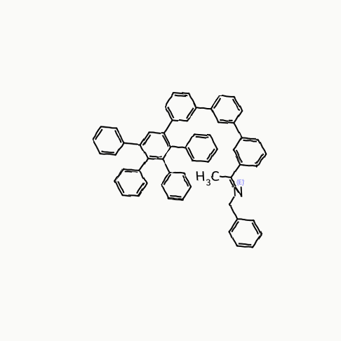 C/C(=N\Cc1ccccc1)c1cccc(-c2cccc(-c3cccc(-c4cc(-c5ccccc5)c(-c5ccccc5)c(-c5ccccc5)c4-c4ccccc4)c3)c2)c1